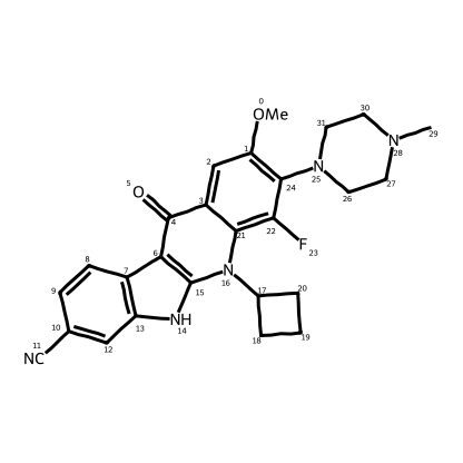 COc1cc2c(=O)c3c4ccc(C#N)cc4[nH]c3n(C3CCC3)c2c(F)c1N1CCN(C)CC1